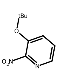 CC(C)(C)Oc1cccnc1[N+](=O)[O-]